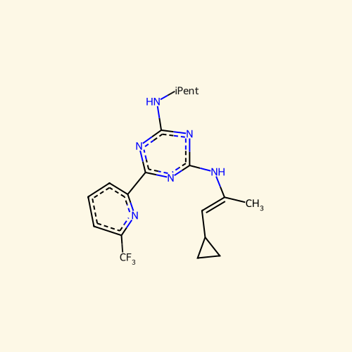 CCCC(C)Nc1nc(NC(C)=CC2CC2)nc(-c2cccc(C(F)(F)F)n2)n1